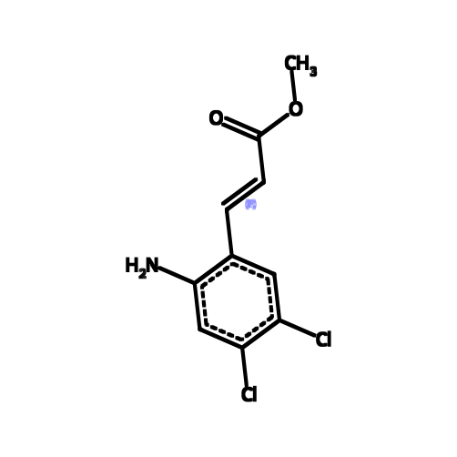 COC(=O)/C=C/c1cc(Cl)c(Cl)cc1N